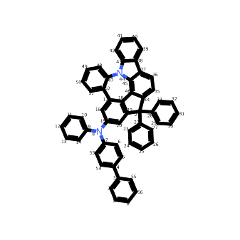 c1ccc(-c2ccc(N(c3ccccc3)c3cc4c5c(c3)C(c3ccccc3)(c3ccccc3)c3ccc6c7ccccc7n(c6c3-5)-c3ccccc3-4)cc2)cc1